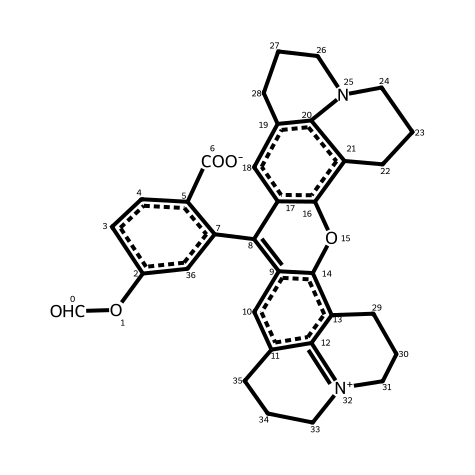 O=COc1ccc(C(=O)[O-])c(C2=c3cc4c5c(c3Oc3c2cc2c6c3CCCN6CCC2)CCC[N+]=5CCC4)c1